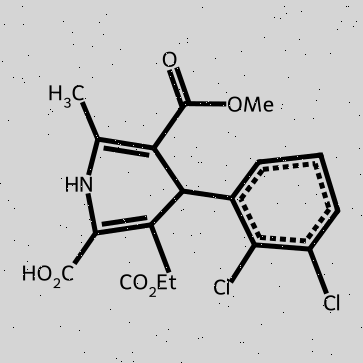 CCOC(=O)C1=C(C(=O)O)NC(C)=C(C(=O)OC)C1c1cccc(Cl)c1Cl